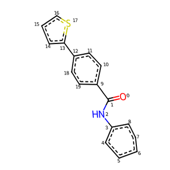 O=C(Nc1ccccc1)c1ccc(-c2cccs2)cc1